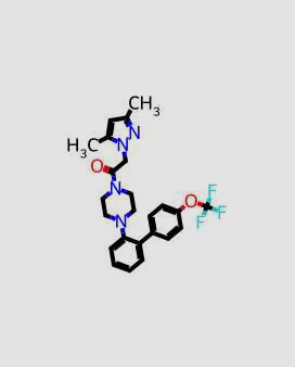 Cc1cc(C)n(CC(=O)N2CCN(c3ccccc3-c3ccc(OC(F)(F)F)cc3)CC2)n1